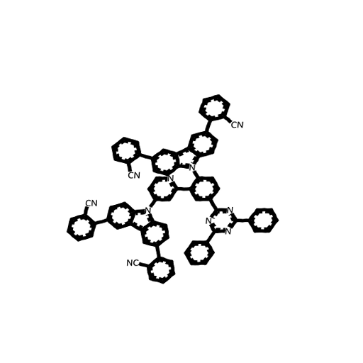 N#Cc1ccccc1-c1ccc2c(c1)c1cc(-c3ccccc3C#N)ccc1n2-c1ccnc(-c2cc(-c3nc(-c4ccccc4)nc(-c4ccccc4)n3)ccc2-n2c3ccc(-c4ccccc4C#N)cc3c3cc(-c4ccccc4C#N)ccc32)c1